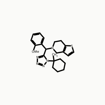 COc1ccccc1C(c1nnnn1C1(C)CCCCC1)N1CCc2sccc2C1